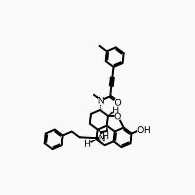 Cc1cccc(C#CC(=O)N(C)[C@H]2CC[C@H]3[C@H]4Cc5ccc(O)c6c5[C@@]3(CCN4CCc3ccccc3)[C@H]2O6)c1